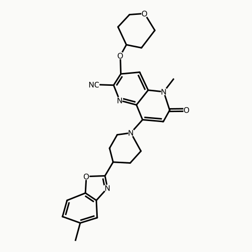 Cc1ccc2oc(C3CCN(c4cc(=O)n(C)c5cc(OC6CCOCC6)c(C#N)nc45)CC3)nc2c1